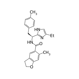 CCc1c[nH]c([C@H](Cc2ccc(C)cc2)NC(=O)c2cc3c(cc2C)OCC3)n1